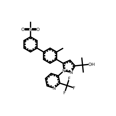 Cc1cc(-c2cccc(S(C)(=O)=O)c2)ccc1-c1cc(C(C)(C)O)nn1-c1cccnc1C(F)(F)F